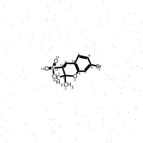 CC1(C)Oc2cc(Br)ccc2C=C1S(=O)(=O)Cl